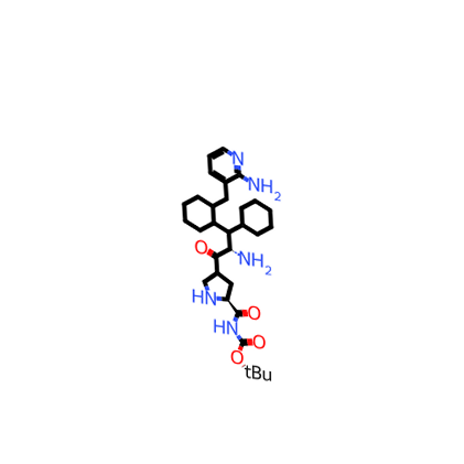 CC(C)(C)OC(=O)NC(=O)[C@@H]1CC(C(=O)[C@@H](N)C(C2CCCCC2)C2CCCCC2Cc2cccnc2N)CN1